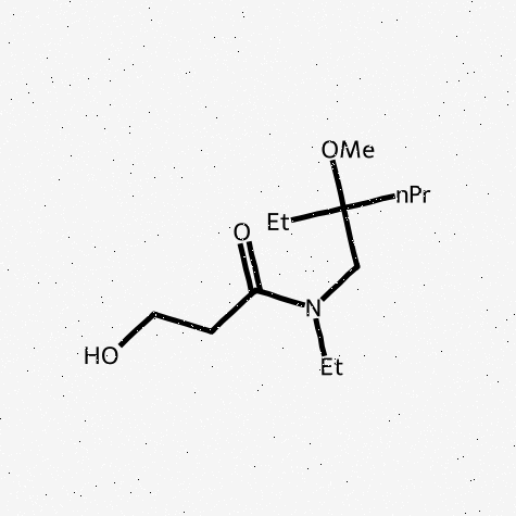 CCCC(CC)(CN(CC)C(=O)CCO)OC